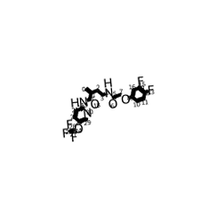 C=C(CCNC(=O)COc1ccc(F)c(F)c1)C(=O)Nc1ccc(OC(F)(F)F)cn1